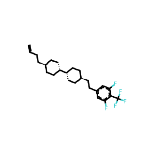 C=CCC[C@H]1CC[C@H]([C@H]2CC[C@H](CCc3cc(F)c(C(F)(F)F)c(F)c3)CC2)CC1